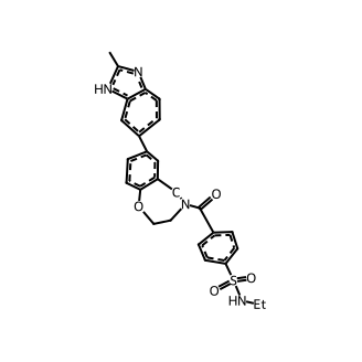 CCNS(=O)(=O)c1ccc(C(=O)N2CCOc3ccc(-c4ccc5nc(C)[nH]c5c4)cc3C2)cc1